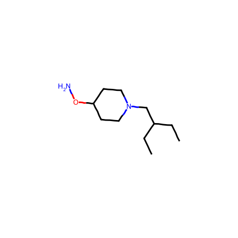 CCC(CC)CN1CCC(ON)CC1